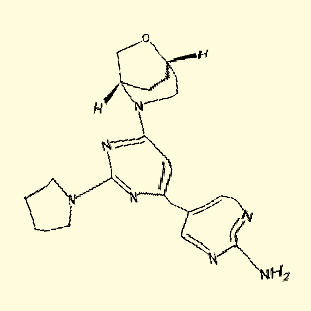 Nc1ncc(-c2cc(N3C[C@@H]4C[C@H]3CO4)nc(N3CCCC3)n2)cn1